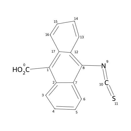 O=C(O)c1c2ccccc2c(N=C=S)c2ccccc12